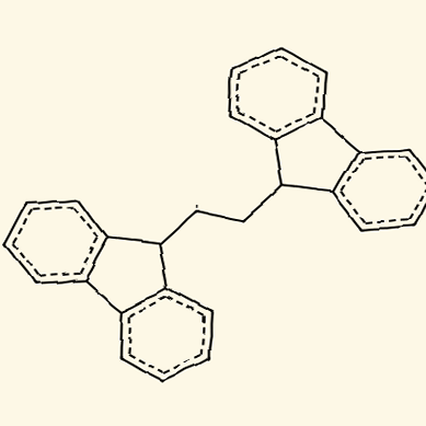 [CH](CC1c2ccccc2-c2ccccc21)C1c2ccccc2-c2ccccc21